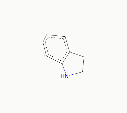 [c]1cccc2c1NCC2